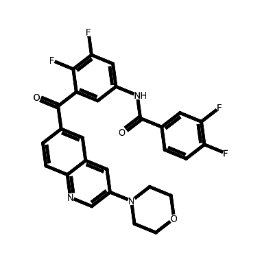 O=C(Nc1cc(F)c(F)c(C(=O)c2ccc3ncc(N4CCOCC4)cc3c2)c1)c1ccc(F)c(F)c1